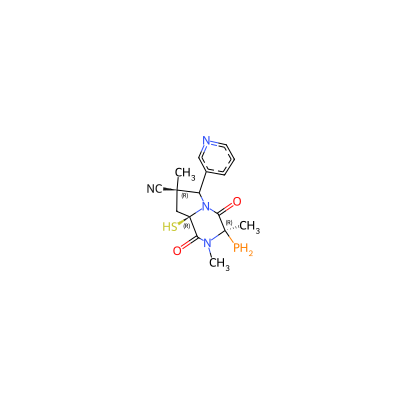 CN1C(=O)[C@]2(S)C[C@@](C)(C#N)C(c3cccnc3)N2C(=O)[C@@]1(C)P